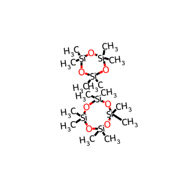 C[Si]1(C)O[Si](C)(C)O[Si](C)(C)O1.C[Si]1(C)O[Si](C)(C)O[Si](C)(C)O[Si](C)(C)O1